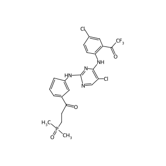 CP(C)(=O)CCC(=O)c1cccc(Nc2ncc(Cl)c(Nc3ccc(Cl)cc3C(=O)C(F)(F)F)n2)c1